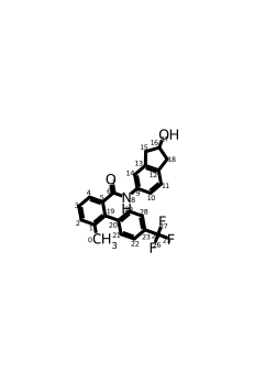 Cc1cccc(C(=O)Nc2ccc3c(c2)CC(O)C3)c1-c1ccc(C(F)(F)F)cc1